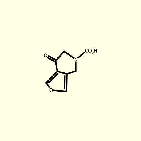 O=C1CN(C(=O)O)Cc2cocc21